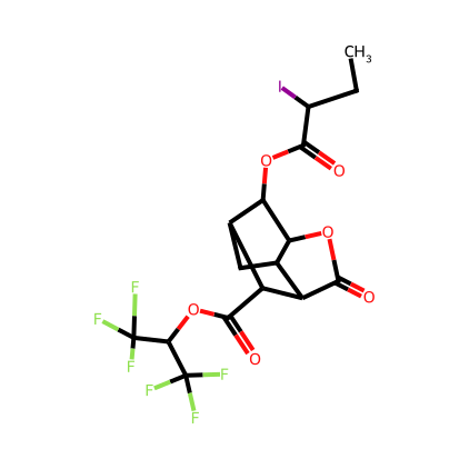 CCC(I)C(=O)OC1C2CC3C1OC(=O)C3C2C(=O)OC(C(F)(F)F)C(F)(F)F